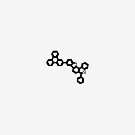 c1ccc(-c2nc3ccccc3c3c2ccc2c4cc(-c5ccc6c7ccccc7c7ccccc7c6c5)ccc4sc23)cc1